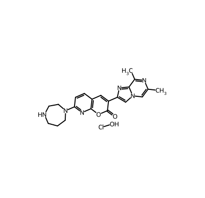 Cc1cn2cc(-c3cc4ccc(N5CCCNCC5)nc4oc3=O)nc2c(C)n1.OCl